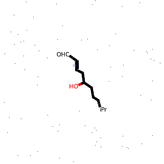 CC(C)CCCC(O)C/C=C/C=O